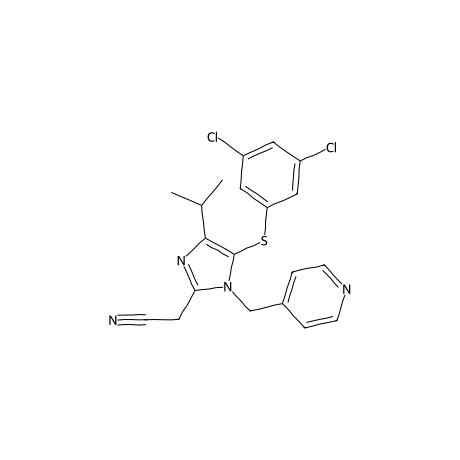 CC(C)c1nc(CC#N)n(Cc2ccncc2)c1Sc1cc(Cl)cc(Cl)c1